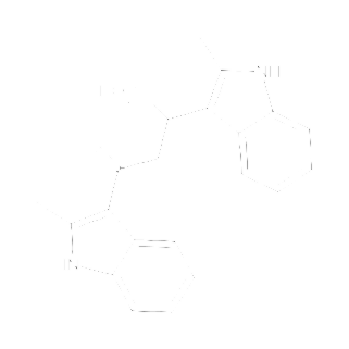 Cc1[nH]c2ccccc2c1C(=O)CC(C(=O)O)c1c(C)[nH]c2ccccc12